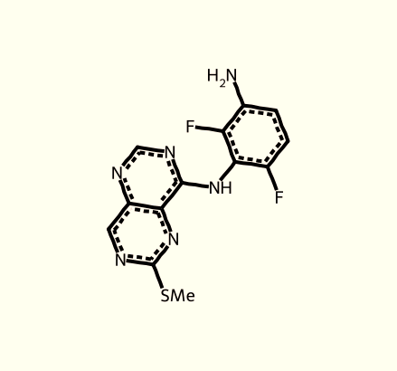 CSc1ncc2ncnc(Nc3c(F)ccc(N)c3F)c2n1